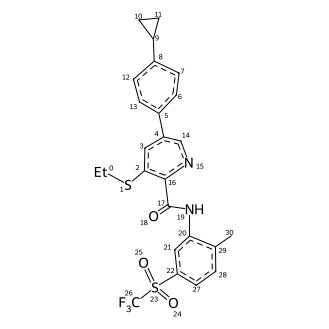 CCSc1cc(-c2ccc(C3CC3)cc2)cnc1C(=O)Nc1cc(S(=O)(=O)C(F)(F)F)ccc1C